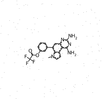 Cn1ccc2c3c(N)nc(N)nc3cc(-c3cccc(OC(=O)C(F)(F)F)c3)c21